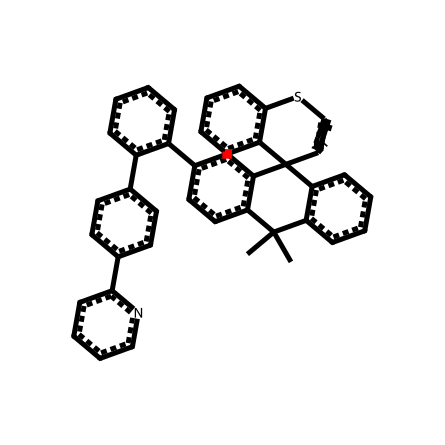 CC1(C)c2ccccc2C2(c3ccccc3Sc3ccccc32)c2cc(-c3ccccc3-c3ccc(-c4ccccn4)cc3)ccc21